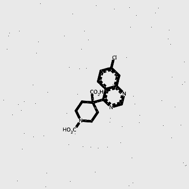 O=C(O)N1CCC(C(=O)O)(c2ncnc3cc(Cl)ccc23)CC1